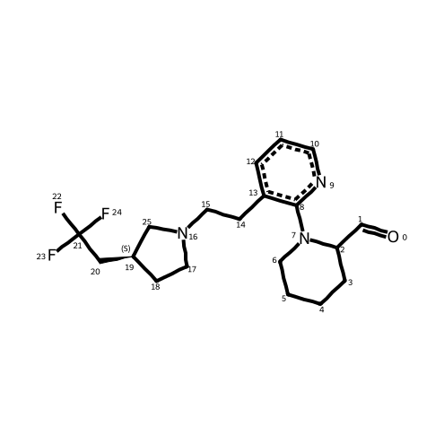 O=CC1CCCCN1c1ncccc1CCN1CC[C@@H](CC(F)(F)F)C1